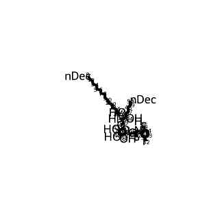 CCCCCCCCCCCCCCCCCCCCCCCCCCN[C@@H](CO[C@H]1O[C@H](COC(=S)Nc2cc(F)ccc2F)[C@H](O)[C@H](O)[C@H]1O)[C@H](O)[C@H](O)CCCCCCCCCCCCCC